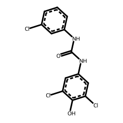 O=C(Nc1cccc(Cl)c1)Nc1cc(Cl)c(O)c(Cl)c1